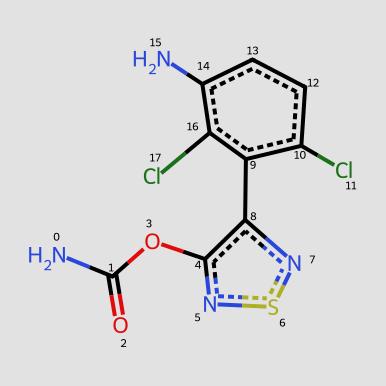 NC(=O)Oc1nsnc1-c1c(Cl)ccc(N)c1Cl